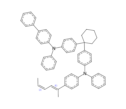 C/C=C\C=C(/C)c1ccc(N(c2ccccc2)c2ccc(C3(c4ccc(N(c5ccccc5)c5ccc(-c6ccccc6)cc5)cc4)CCCCC3)cc2)cc1